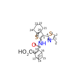 Cc1csc(-c2c(NC(=O)C3=C(C(=O)O)C=C4CC3C4)sc3c2CCCC3)n1